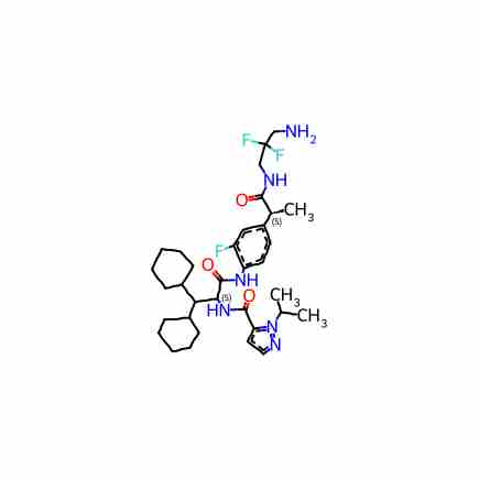 CC(C)n1nccc1C(=O)N[C@H](C(=O)Nc1ccc([C@H](C)C(=O)NCC(F)(F)CN)cc1F)C(C1CCCCC1)C1CCCCC1